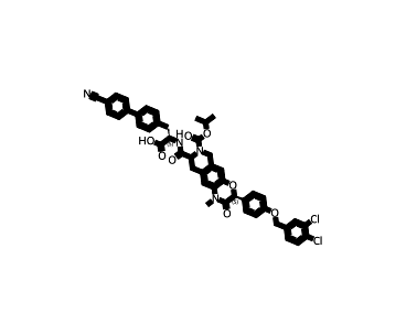 CC(C)OC(=O)N1Cc2cc3c(cc2CC1C(=O)N[C@@H](Cc1ccc(-c2ccc(C#N)cc2)cc1)C(=O)O)N(C)C(=O)[C@H](c1ccc(OCc2ccc(Cl)c(Cl)c2)cc1)O3